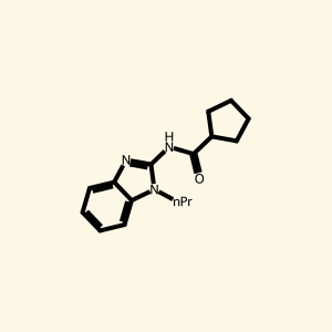 CCCn1c(NC(=O)C2CCCC2)nc2ccccc21